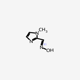 Cn1ccnc1/C=N/O